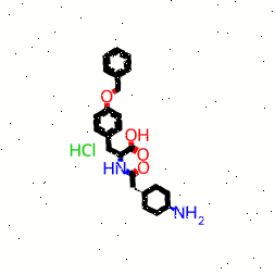 Cl.N[C@H]1CC[C@H](CC(=O)NC(Cc2ccc(OCc3ccccc3)cc2)C(=O)O)CC1